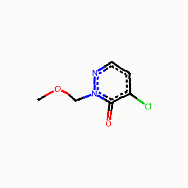 COCn1nccc(Cl)c1=O